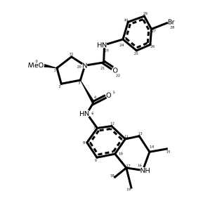 CO[C@@H]1C[C@H](C(=O)Nc2ccc3c(c2)CC(C)NC3(C)C)N(C(=O)Nc2ccc(Br)cc2)C1